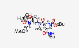 CC[C@@H](C)NC(=O)[C@H]1C[C@@H](C(=O)N(c2ccc3c(c2)N(CCCOC)C(=O)C(C)(C)O3)C2CC2)CN(C(=O)OC(C)(C)C)C1